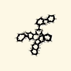 c1ccc(-c2nc(-c3cc4oc5ccccc5c4cc3-n3c4ccccc4c4cc5ccccc5cc43)nc(-c3cccc4c3oc3ccccc34)n2)cc1